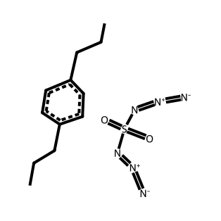 CCCc1ccc(CCC)cc1.[N-]=[N+]=NS(=O)(=O)N=[N+]=[N-]